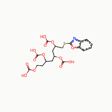 O=C(O)OCCC(CC(CC(CSc1nc2ccccc2o1)OC(=O)O)OC(=O)O)OC(=O)O